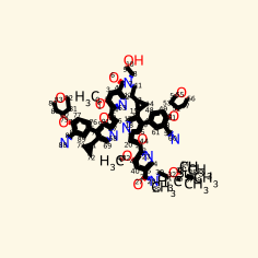 COc1cc(C(=O)N(CCO)CCC2CC2c2cnc3cc(-c4ncc(C(=O)N(C)CCO[Si](C)(C)C(C)(C)C)cc4OC)oc3c2-c2ccc(OC3CCOCC3)c(C#N)c2)cnc1-c1cc2ncc(C3CC3)c(-c3ccc(OC4CCOCC4)c(C#N)c3)c2o1